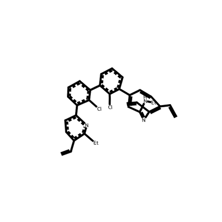 C=CC1=C(C=C)\N=C(NCC)\C=C(c2cccc(-c3cccc(-c4ccc(C=C)c(CC)n4)c3Cl)c2Cl)/C=C\1